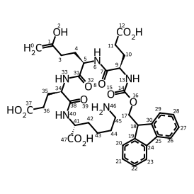 C=C(O)CC[C@@H](NC(=O)[C@@H](CCC(=O)O)NC(=O)OCC1c2ccccc2-c2ccccc21)C(=O)N[C@H](CCC(=O)O)C(=O)N[C@H](CCCCN)C(=O)O